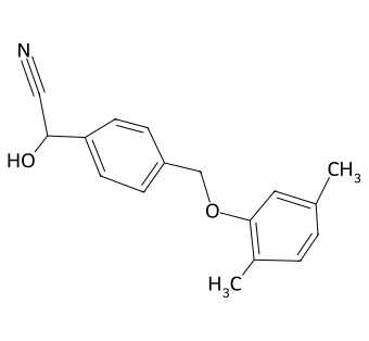 Cc1ccc(C)c(OCc2ccc(C(O)C#N)cc2)c1